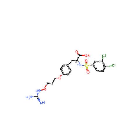 N=C(N)NOCCCOc1ccc(C[C@H](NS(=O)(=O)c2ccc(Cl)c(Cl)c2)C(=O)O)cc1